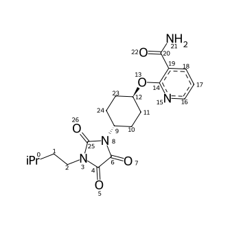 CC(C)CCN1C(=O)C(=O)N([C@H]2CC[C@H](Oc3ncccc3C(N)=O)CC2)C1=O